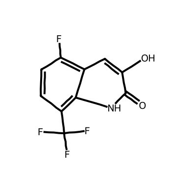 O=c1[nH]c2c(C(F)(F)F)ccc(F)c2cc1O